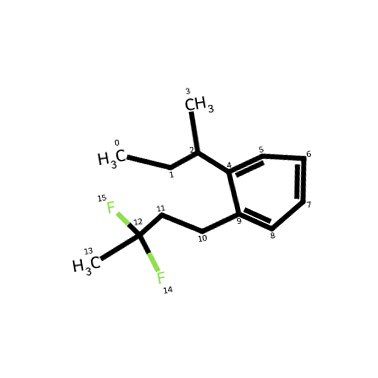 CCC(C)c1ccccc1CCC(C)(F)F